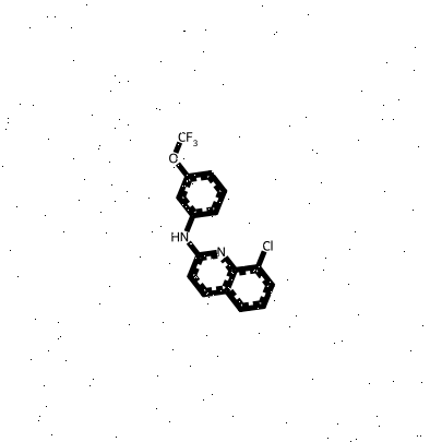 FC(F)(F)Oc1cccc(Nc2ccc3cccc(Cl)c3n2)c1